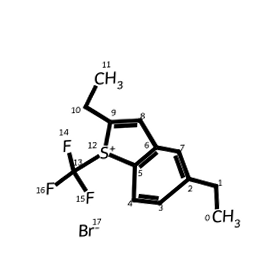 CCc1ccc2c(c1)cc(CC)[s+]2C(F)(F)F.[Br-]